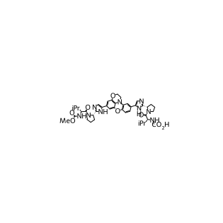 COC(=O)N[C@H](C(=O)N1CCC[C@H]1c1ncc(-c2cc3c4c(c2)Oc2ccc(-c5cnc([C@@H]6CCCN6C(=O)[C@@H](NC(=O)O)C(C)C)[nH]5)cc2N4CCO3)[nH]1)C(C)C